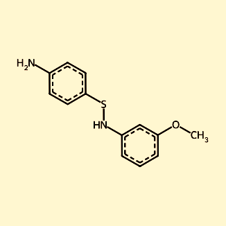 COc1cccc(NSc2ccc(N)cc2)c1